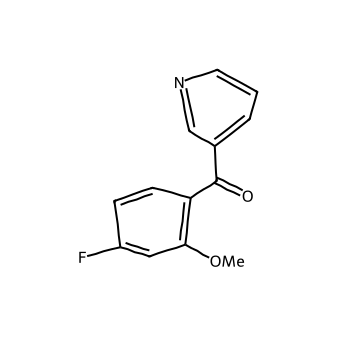 COc1cc(F)ccc1C(=O)c1cccnc1